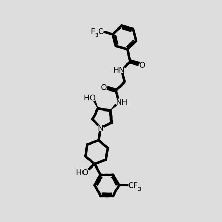 O=C(CNC(=O)c1cccc(C(F)(F)F)c1)N[C@H]1CN(C2CCC(O)(c3cccc(C(F)(F)F)c3)CC2)C[C@H]1O